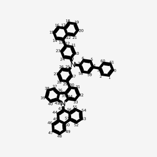 c1ccc(-c2ccc(N(c3ccc(-c4cccc5ccccc45)cc3)c3cccc(-c4cccc5c4c4ccccc4n5-c4cc5ccccc5c5ccccc45)c3)cc2)cc1